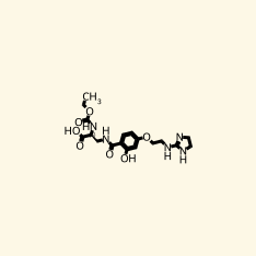 CCOC(=O)N[C@@H](CNC(=O)c1ccc(OCCNC2=NCCN2)cc1O)C(=O)O